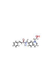 CC(NC(=O)C=Cc1ccccc1)c1ccc2c(c1)N(CCO)CCC2